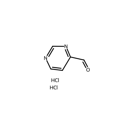 Cl.Cl.O=Cc1ccncn1